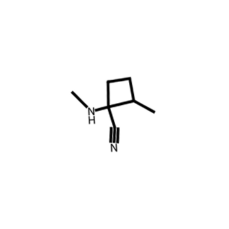 CNC1(C#N)CCC1C